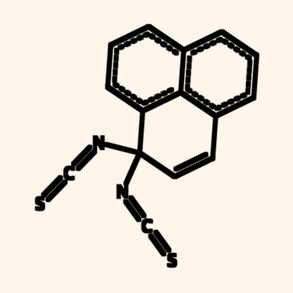 S=C=NC1(N=C=S)C=Cc2cccc3cccc1c23